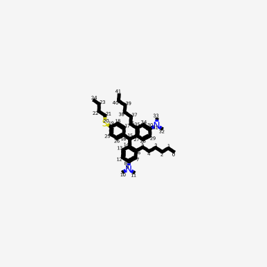 CCCCCCc1cc(N(C)C)ccc1C(c1ccc(SCCCC)cc1)c1ccc(N(C)C)cc1CCCCCC